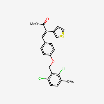 COC(=O)/C(=C/c1ccc(OCc2c(Cl)ccc(OC(C)=O)c2Cl)cc1)c1ccsc1